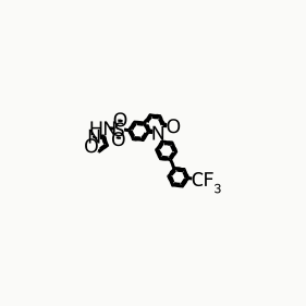 O=c1ccc2cc(S(=O)(=O)Nc3ccon3)ccc2n1-c1ccc(-c2cccc(C(F)(F)F)c2)cc1